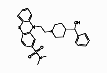 CN(C)S(=O)(=O)c1ccc2c(c1)N(CCN1CCC(C(O)c3ccccc3)CC1)c1ccccc1S2